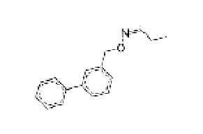 CC/[C]=N\OCc1cccc(-c2ccccc2)c1